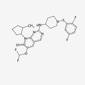 CC1CCCC1n1c(=O)c(OC(F)F)cc2cnc(NC3CCN(Sc4cc(F)ccc4F)CC3)nc21